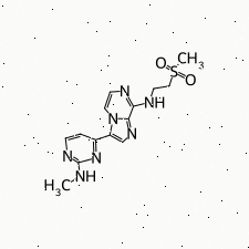 CNc1nccc(-c2cnc3c(NCCS(C)(=O)=O)nccn23)n1